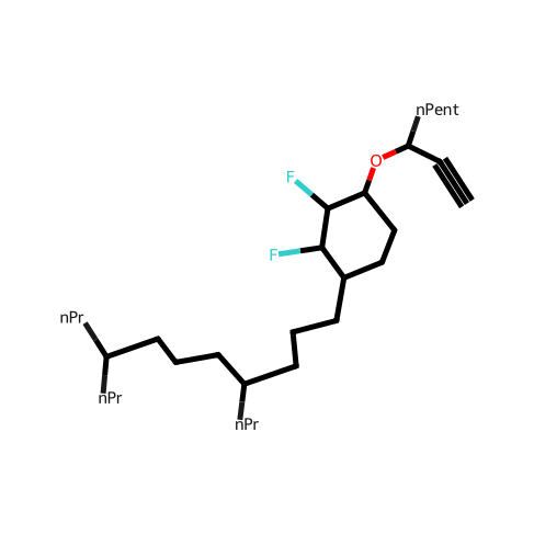 C#CC(CCCCC)OC1CCC(CCCC(CCC)CCCC(CCC)CCC)C(F)C1F